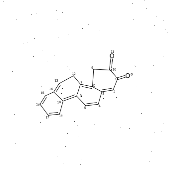 O=C1C=c2ccc3c(c2CC1=O)CC=c1ccccc1=3